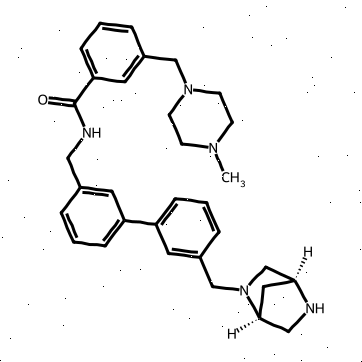 CN1CCN(Cc2cccc(C(=O)NCc3cccc(-c4cccc(CN5C[C@@H]6C[C@H]5CN6)c4)c3)c2)CC1